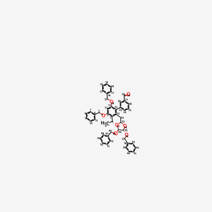 CCc1c(OCc2ccccc2)cc(OCc2ccccc2)c(-c2cccc(C=O)c2)c1CC1O[C@H](OCc2ccccc2)[C@@H](OCc2ccccc2)O1